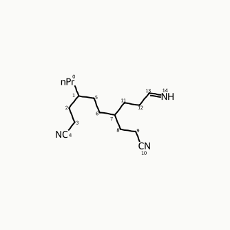 CCCC(CCC#N)CCC(CCC#N)CCC=N